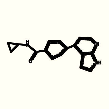 O=C(NC1CC1)c1ccc(-c2ccnc3[nH]ccc23)cc1